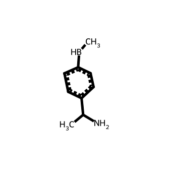 CBc1ccc(C(C)N)cc1